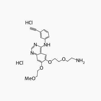 C#Cc1cccc(Nc2ncnc3cc(OCCOC)c(OCCOCCN)cc23)c1.Cl.Cl